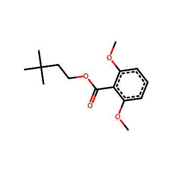 COc1cccc(OC)c1C(=O)OCCC(C)(C)C